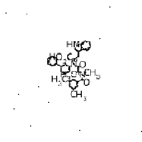 Cc1cc(C)cc(C(=O)N(C)[C@@H](C)C(=O)N(c2cccc(-c3ccccc3)c2)[C@@H](Cc2c[nH]c3ccccc23)C(=O)O)c1